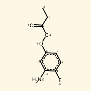 CCC(=O)OOc1ccc(F)c(N)c1